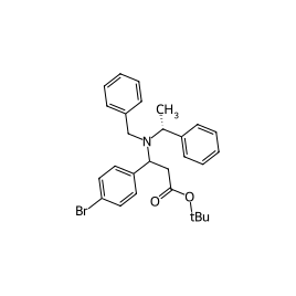 C[C@H](c1ccccc1)N(Cc1ccccc1)C(CC(=O)OC(C)(C)C)c1ccc(Br)cc1